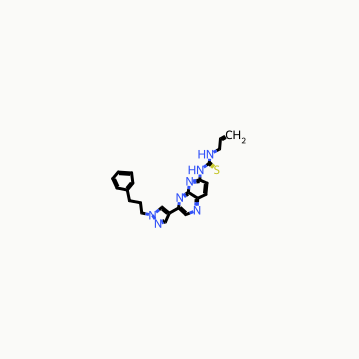 C=CCNC(=S)Nc1ccc2ncc(-c3cnn(CCCc4ccccc4)c3)nc2n1